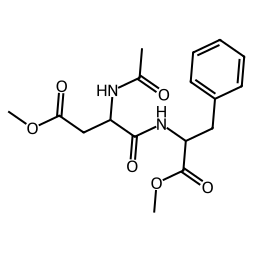 COC(=O)CC(NC(C)=O)C(=O)NC(Cc1ccccc1)C(=O)OC